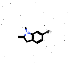 C=C1Cc2ccc(C(C)C)cc2N1C